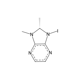 C[C@H]1N(C)c2nccnc2N1I